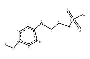 CCc1ccc(OCCCS(C)(=O)=O)nc1